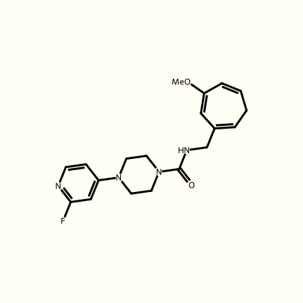 COC1=CC(CNC(=O)N2CCN(c3ccnc(F)c3)CC2)=CCC=C1